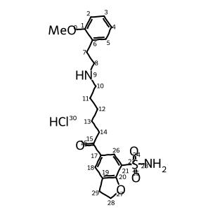 COc1ccccc1CCNCCCCCC(=O)c1cc2c(c(S(N)(=O)=O)c1)OCC2.Cl